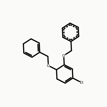 CCC1=CCC(OCC2=CCCC=C2)C(OCc2ccccc2)=C1